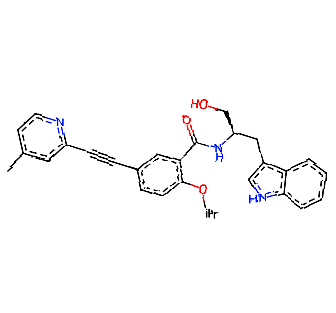 Cc1ccnc(C#Cc2ccc(OC(C)C)c(C(=O)N[C@@H](CO)Cc3c[nH]c4ccccc34)c2)c1